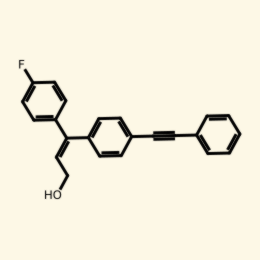 OCC=C(c1ccc(F)cc1)c1ccc(C#Cc2ccccc2)cc1